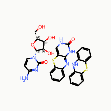 Nc1ccn([C@@H]2O[C@H](CO)[C@@H](O)[C@H]2O)c(=O)n1.O=C1NC=C2Sc3ccccc3N=C2N1.c1ccc2c(c1)Nc1ccccc1S2